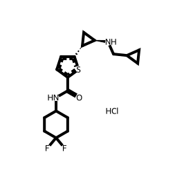 Cl.O=C(NC1CCC(F)(F)CC1)c1ccc([C@@H]2C[C@H]2NCC2CC2)s1